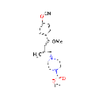 C=C(/C=C(\OC)c1ccc(OC#N)cc1)CN1CCN(C(=O)OC(C)C)CC1